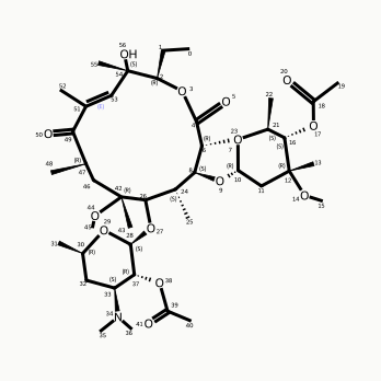 CC[C@H]1OC(=O)[C@H](C)[C@@H](O[C@H]2C[C@@](C)(OC)[C@@H](OC(C)=O)[C@H](C)O2)[C@H](C)C(O[C@@H]2O[C@H](C)C[C@H](N(C)C)[C@H]2OC(C)=O)[C@](C)(OC)C[C@@H](C)C(=O)/C(C)=C/[C@]1(C)O